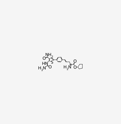 NC(=O)Nc1sc(-c2ccc(C=CC[C@H](N)C(=O)OC3CCCC3)cc2)cc1C(N)=O